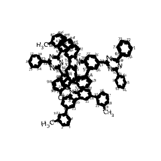 Cc1cccc(-c2ccc3c(c2)c2cc(-c4cccc(C)c4)ccc2n3-c2ccc(-c3nc(-c4ccccc4)nc(-c4ccccc4)n3)cc2-c2cccc(-c3cc(-c4nc(-c5ccccc5)nc(-c5ccccc5)n4)ccc3-n3c4ccc(-c5cccc(C)c5)cc4c4cc(-c5cccc(C)c5)ccc43)c2)c1